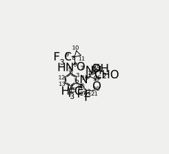 C[C@]1(c2cc(NC(=O)C3(C(F)(F)F)CC3)ccc2F)N=C(N)COCC1(F)F.O=CO